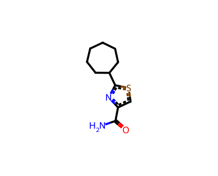 NC(=O)c1csc(C2CCCCCC2)n1